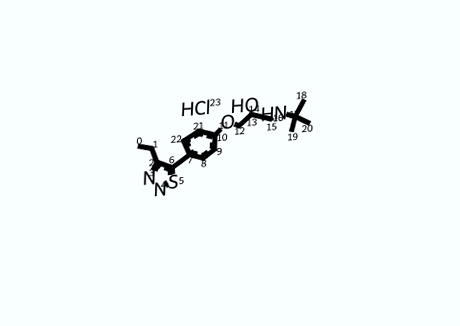 CCc1nnsc1-c1ccc(OCC(O)CNC(C)(C)C)cc1.Cl